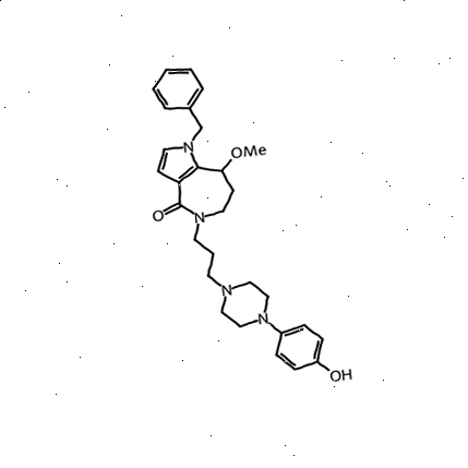 COC1CCN(CCCN2CCN(c3ccc(O)cc3)CC2)C(=O)c2ccn(Cc3ccccc3)c21